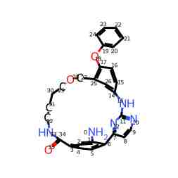 Nc1cc2ccc1-c1ccnc(n1)Nc1ccc(Oc3ccccc3)c(c1)COCCCCNC2=O